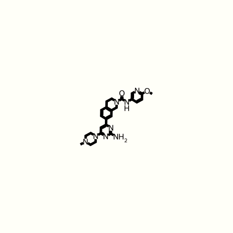 COc1ccc(NC(=O)N2CCc3ccc(-c4cc(N5CCN(C)CC5)nc(N)n4)cc3C2)cn1